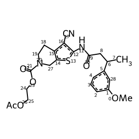 COc1cccc(C(C)CC(=O)Nc2sc3c(c2C#N)CCN(C(=O)OCCOC(C)=O)C3)c1